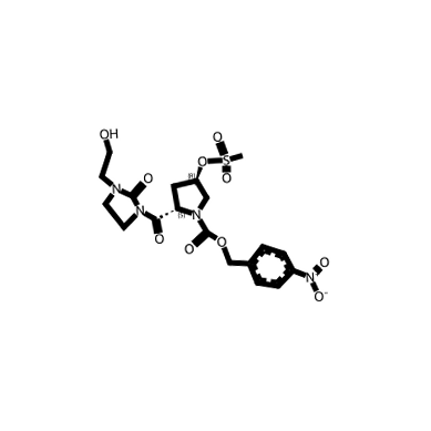 CS(=O)(=O)O[C@@H]1C[C@@H](C(=O)N2CCN(CCO)C2=O)N(C(=O)OCc2ccc([N+](=O)[O-])cc2)C1